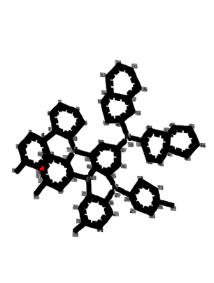 Cc1ccc(-c2ccccc2N2c3ccc(C)cc3B3c4cc(C)ccc4N(c4ccc(C)cc4)c4cc(N(c5ccc6ccccc6c5)c5ccc6ccccc6c5)cc2c43)cc1